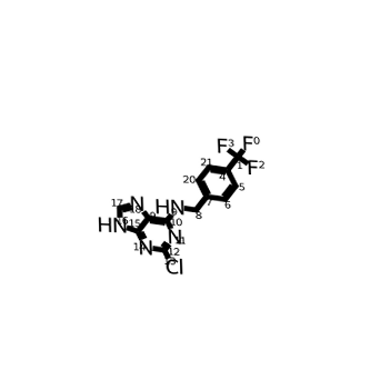 FC(F)(F)c1ccc(CNc2nc(Cl)nc3[nH]cnc23)cc1